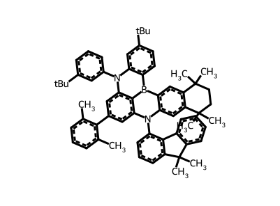 Cc1cccc(C)c1-c1cc2c3c(c1)N(c1cccc4c1-c1ccccc1C4(C)C)c1cc4c(cc1B3c1ccc(C(C)(C)C)cc1N2c1cccc(C(C)(C)C)c1)C(C)(C)CCC4(C)C